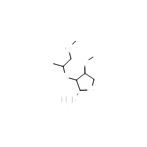 B[C@@H]1OCC(OC)C1SC(C)COC